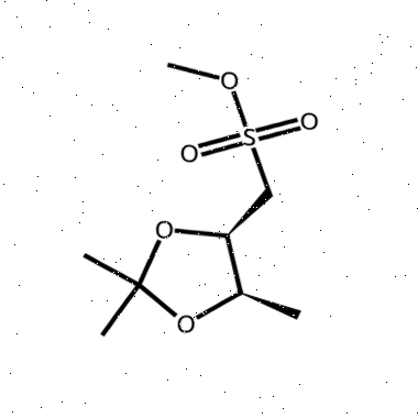 COS(=O)(=O)C[C@@H]1OC(C)(C)O[C@@H]1C